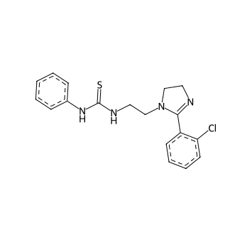 S=C(NCCN1CCN=C1c1ccccc1Cl)Nc1ccccc1